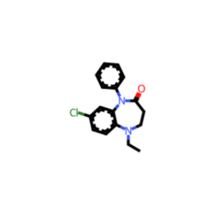 CCN1CCC(=O)N(c2ccccc2)c2cc(Cl)ccc21